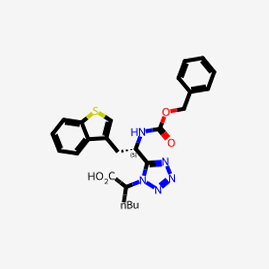 CCCCC(C(=O)O)n1nnnc1[C@H](Cc1csc2ccccc12)NC(=O)OCc1ccccc1